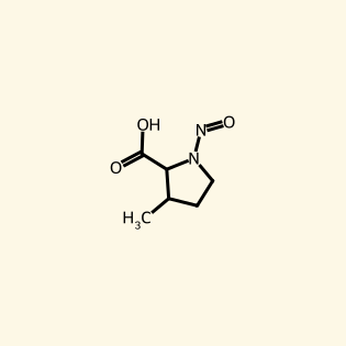 CC1CCN(N=O)C1C(=O)O